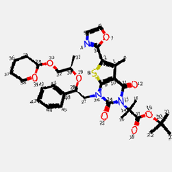 Cc1c(-c2ncco2)sc2c1c(=O)n(C(C)(C)C(=O)OC(C)(C)C)c(=O)n2C[C@H](O[C@H](C)COC1CCCCO1)c1ccccc1